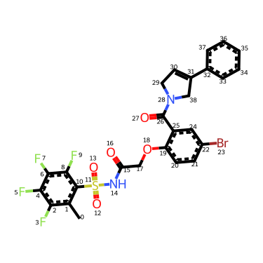 Cc1c(F)c(F)c(F)c(F)c1S(=O)(=O)NC(=O)COc1ccc(Br)cc1C(=O)N1CC=C(c2ccccc2)C1